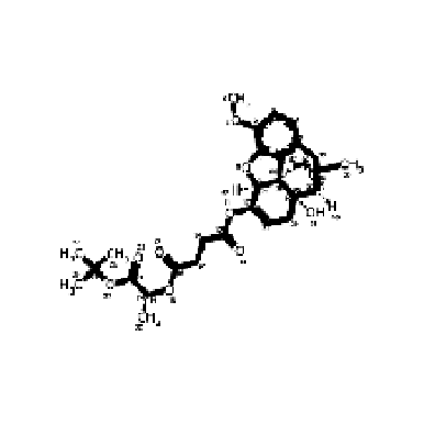 COc1ccc2c3c1O[C@@H]1C(OC(=O)CCC(=O)O[C@@H](C)C(=O)OC(C)(C)C)=CC[C@]4(O)[C@H](C2)N(C)CC[C@@]314